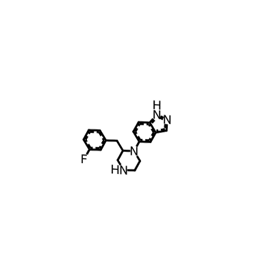 Fc1cccc(CC2CNCCN2c2ccc3[nH]ncc3c2)c1